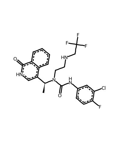 C[C@@H](c1c[nH]c(=O)c2ccccc12)N(CCNCC(F)(F)F)C(=O)Nc1ccc(F)c(Cl)c1